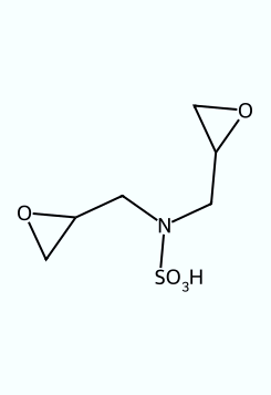 O=S(=O)(O)N(CC1CO1)CC1CO1